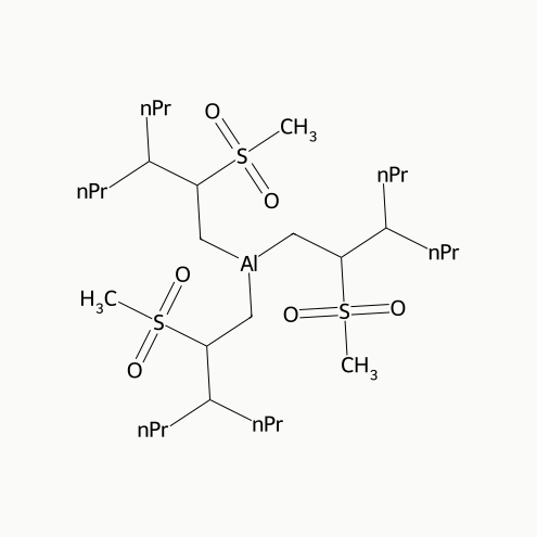 CCCC(CCC)C([CH2][Al]([CH2]C(C(CCC)CCC)S(C)(=O)=O)[CH2]C(C(CCC)CCC)S(C)(=O)=O)S(C)(=O)=O